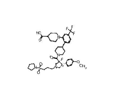 COc1ccc([C@@H]2CN(CCCS(=O)(=O)N3CCCC3)C[C@@]2(F)C(=O)N2CCC(c3ccc(C(F)(F)F)cc3N3CCC(C(=O)O)CC3)CC2)cc1